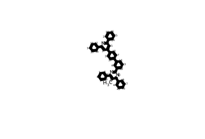 Cc1c(-c2ccccc2)nc(-c2cccc(-c3ccc(-c4cc(-c5ccccc5)nc(-c5ccccc5)c4)cc3)c2)nc1-c1ccccc1